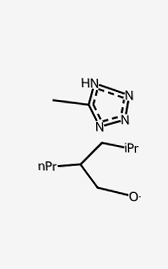 CCCC(C[O])CC(C)C.Cc1nnn[nH]1